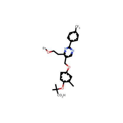 CCOCCc1nc(-c2ccc(C(F)(F)F)cc2)ncc1COc1ccc(OC(C)(C)C(=O)O)c(C)c1